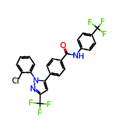 O=C(Nc1ccc(C(F)(F)F)cc1)c1ccc(-c2cc(C(F)(F)F)nn2-c2ccccc2Cl)cc1